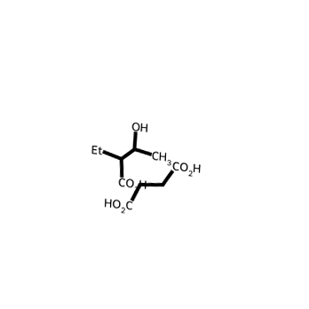 CCC(C(=O)O)C(C)O.O=C(O)CCC(=O)O